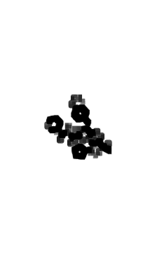 COc1ccc(C[C@H](NC(=O)[C@@H](C)NC(=O)[C@@H]2CCCOC2)C(=O)N[C@@H](CC2CCCC2)C(=O)[C@]2(C)CO2)cc1